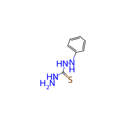 NNC(=S)NNc1ccccc1